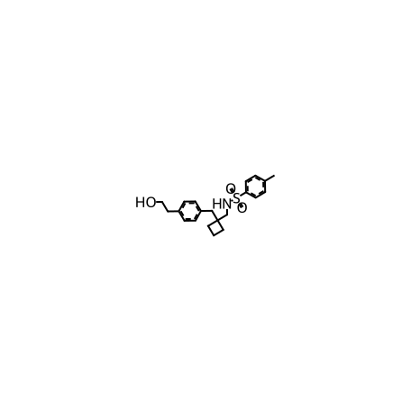 Cc1ccc(S(=O)(=O)NCC2(Cc3ccc(CCO)cc3)CCC2)cc1